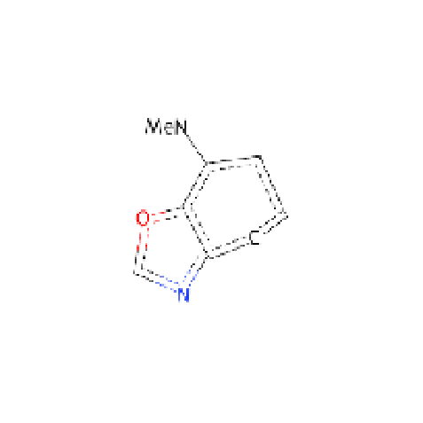 CNc1cccc2ncoc12